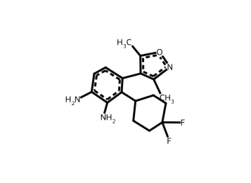 Cc1noc(C)c1-c1ccc(N)c(N)c1C1CCC(F)(F)CC1